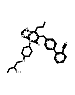 CCCc1c(Cc2ccc(-c3ccccc3C#N)cc2)c(=O)n(C2CCC(OCC(O)CC)CC2)c2ncnn12